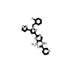 Nc1nc(-c2cc(-c3ccon3)n(Cc3ccccc3F)n2)ncc1NC(=O)c1cccnc1